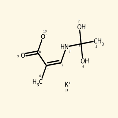 CC(=CNC(C)(O)O)C(=O)[O-].[K+]